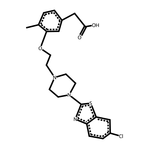 Cc1ccc(CC(=O)O)cc1OCCN1CCN(c2nc3ccc(Cl)cc3s2)CC1